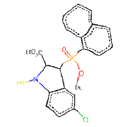 CCOC(=O)C1C(P(=O)(OCC)c2cccc3ccccc23)c2cc(Cl)ccc2N1S